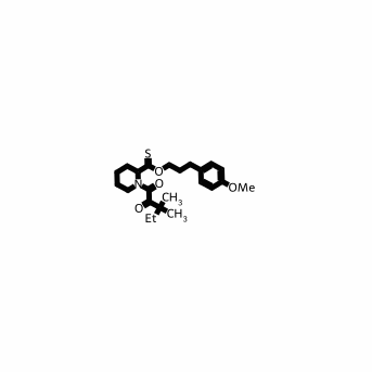 CCC(C)(C)C(=O)C(=O)N1CCCCC1C(=S)OCCCc1ccc(OC)cc1